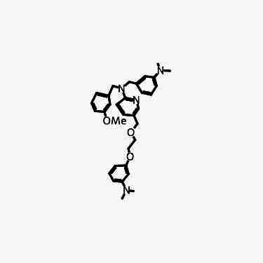 COc1cccc(CN(Cc2cccc(N(C)C)c2)c2ccc(COCCOc3cccc(N(C)C)c3)cn2)c1